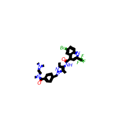 Cc1nn(Cc2ccc(C(=O)N(C)CCN(C)C)cc2)c(C)c1NC(=O)c1cc(C(F)(F)F)nc2ccc(Br)cc12